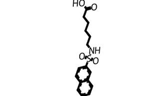 O=C(O)CCCCCNS(=O)(=O)c1ccc2ccccc2c1